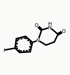 O=C1CCN(c2ccc(I)cc2)C(=O)N1